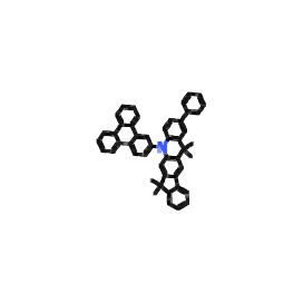 CC1(C)c2ccccc2-c2cc3c(cc21)N(c1ccc2c4ccccc4c4ccccc4c2c1)c1ccc(-c2ccccc2)cc1C3(C)C